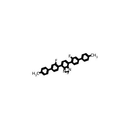 Cc1ccc(-c2ccc(-c3ccc(-c4ccc(-c5ccc(C)cc5)cc4F)c4nsnc34)c(F)c2)cc1